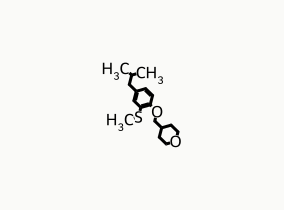 CSc1cc(CC(C)C)ccc1OCC1CCOCC1